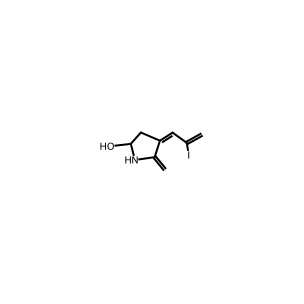 C=C(I)/C=C1/CC(O)NC1=C